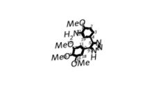 COc1ccc(-c2nn[nH]c2-c2cc(OC)c(OC)c(OC)c2)cc1N